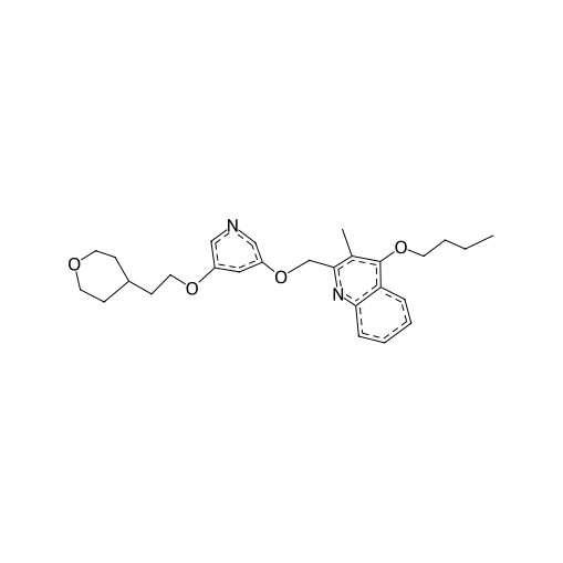 CCCCOc1c(C)c(COc2cncc(OCCC3CCOCC3)c2)nc2ccccc12